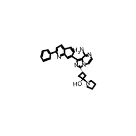 Nc1nccn2c1c(-c1ccc3ccc(-c4ccccc4)nc3c1)nc2[C@H]1C[C@@](O)(N2CCCC2)C1